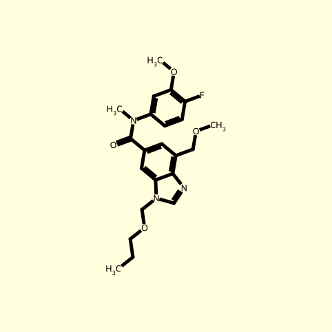 CCCOCn1cnc2c(COC)cc(C(=O)N(C)c3ccc(F)c(OC)c3)cc21